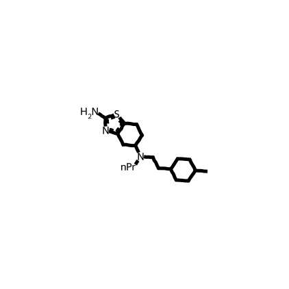 CCCN(CCC1CCC(C)CC1)C1CCc2sc(N)nc2C1